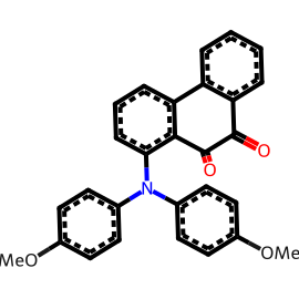 COc1ccc(N(c2ccc(OC)cc2)c2cccc3c2C(=O)C(=O)c2ccccc2-3)cc1